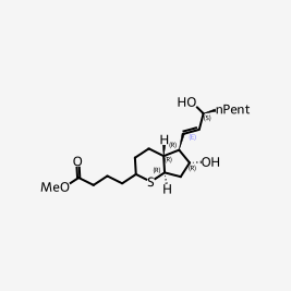 CCCCC[C@H](O)/C=C/[C@@H]1[C@H]2CCC(CCCC(=O)OC)S[C@@H]2C[C@H]1O